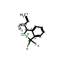 C=C[SiH](C)C(Cl)c1ccccc1C(F)(F)F